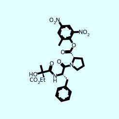 CCOC(=O)[C@](C)(O)C(=O)N[C@@H](Cc1ccccc1)C(=O)N1CCC[C@H]1C(=O)Oc1c(C)cc([N+](=O)[O-])cc1[N+](=O)[O-]